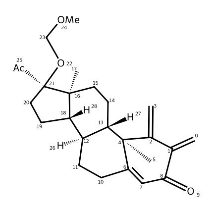 C=C1C(=C)[C@@]2(C)C(=CC1=O)CC[C@@H]1[C@@H]2CC[C@@]2(C)[C@H]1CC[C@]2(OCOC)C(C)=O